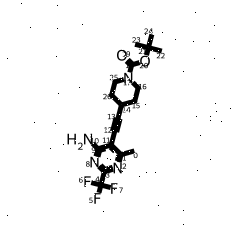 Cc1nc(C(F)(F)F)nc(N)c1C#CC1CCN(C(=O)OC(C)(C)C)CC1